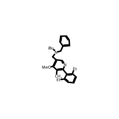 CCc1cccc(CC)c1-c1ncc(CN(Cc2ccccc2)C(C)CC)c(OC)c1C